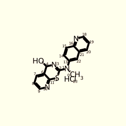 CN(C1=NC(O)c2cccnc2S1)c1ccc2ncccc2c1.Cl